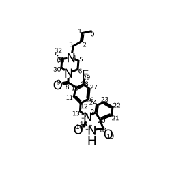 CC=CCN1CCN(C(=O)c2cc(Cn3c(=O)[nH]c(=O)c4ccccc43)ccc2F)C[C@@H]1C